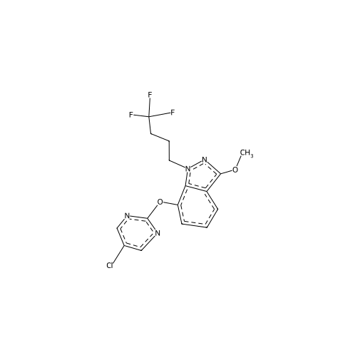 COc1nn(CCCC(F)(F)F)c2c(Oc3ncc(Cl)cn3)cccc12